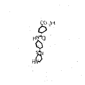 O=C(O)[C@H]1CC[C@H](C(=O)N[C@H]2CC[C@H](c3nc4c(s3)CNCC4)CC2)CC1